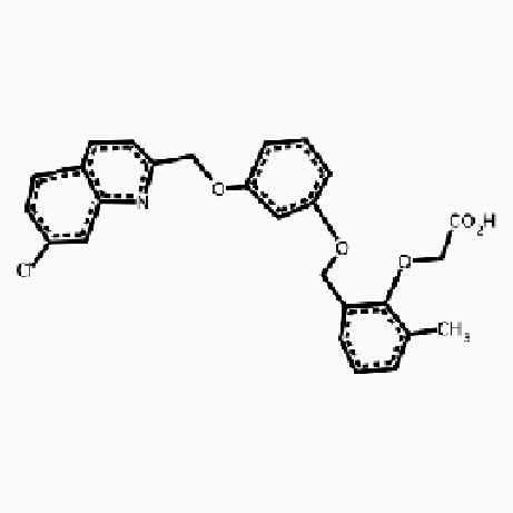 Cc1cccc(COc2cccc(OCc3ccc4ccc(Cl)cc4n3)c2)c1OCC(=O)O